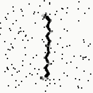 C=CCSCC[Se]CCSCC=C